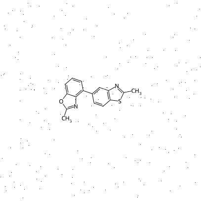 Cc1nc2c(-c3ccc4sc(C)nc4c3)[c]ccc2o1